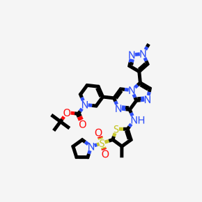 CC1C=C(Nc2nc(C3=CCCN(C(=O)OC(C)(C)C)C3)cn3c(-c4cnn(C)c4)cnc23)SC1S(=O)(=O)N1CCCC1